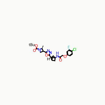 C[C@H]1C(c2nnc([C@H]3CC4(NC(=O)COc5ccc(Cl)c(F)c5)CC3C4)o2)CN1C(=O)OC(C)(C)C